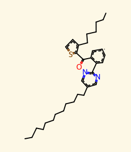 CCCCCCCCCCCCc1cnc(-c2cc[c]cc2C(=O)c2sccc2CCCCCC)nc1